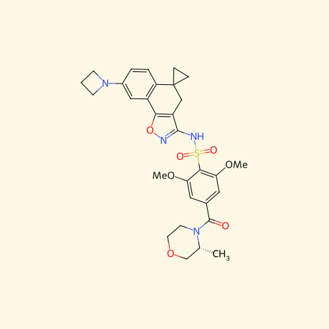 COc1cc(C(=O)N2CCOC[C@H]2C)cc(OC)c1S(=O)(=O)Nc1noc2c1CC1(CC1)c1ccc(N3CCC3)cc1-2